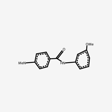 CNc1ccc(C(=O)Nc2cccc(OC)c2)cc1